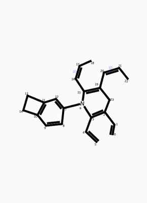 C=CC1=C(C=C)N(c2ccc3c(c2)CC3)C(/C=C\C)=C(/C=C\C)C1